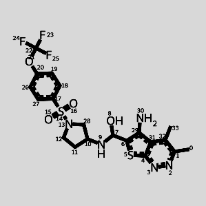 Cc1nnc2sc(C(O)NC3CCN(S(=O)(=O)c4ccc(OC(F)(F)F)cc4)C3)c(N)c2c1C